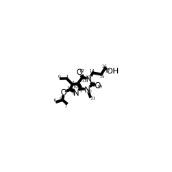 CCC1C(OC(C)C)=Nc2c1c(=O)n(CCCO)c(=O)n2C